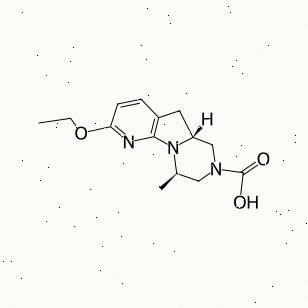 CCOc1ccc2c(n1)N1[C@H](C2)CN(C(=O)O)C[C@H]1C